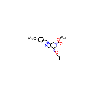 C=CCON=C1CN(C(=O)OC(C)(C)C)Cc2c1cnn2Cc1ccc(OC)cc1